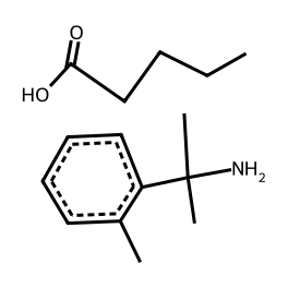 CCCCC(=O)O.Cc1ccccc1C(C)(C)N